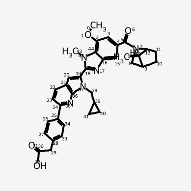 COc1cc(C(=O)N2CC3CCC2[C@@H]3C)cc2nc(-c3cc4ccc(-c5ccc(CC(=O)O)cc5)nc4n3CC3CC3)n(C)c12